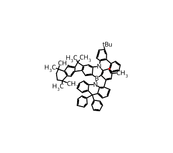 Cc1cc2c3c(c1)N(c1ccc(C(C)(C)C)cc1-c1ccccc1)c1cc4c(cc1B3N1c3ccccc3C(c3ccccc3)(c3ccccc3)c3cccc-2c31)-c1cc2c(cc1C4(C)C)C(C)(C)CCC2(C)C